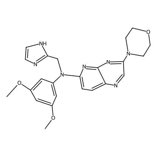 COc1cc(OC)cc(N(Cc2ncc[nH]2)c2ccc3ncc(N4CCOCC4)nc3n2)c1